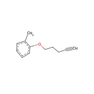 C#CCCCOc1ccccc1C